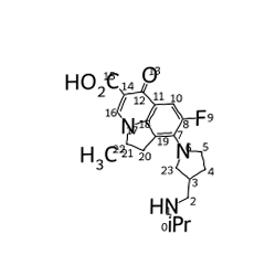 CC(C)NCC1CCN(c2c(F)cc3c(=O)c(C(=O)O)cn4c3c2C[C@@H]4C)C1